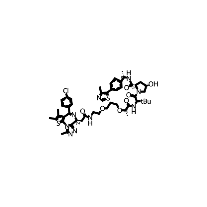 Cc1ncsc1-c1ccc([C@H](C)NC(=O)[C@@H]2C[C@@H](O)CN2C(=O)C(NC(=O)[C@H](C)OCCCOCCNC(=O)C[C@@H]2N=C(c3ccc(Cl)cc3)c3c(sc(C)c3C)-n3c(C)nnc32)C(C)(C)C)cc1